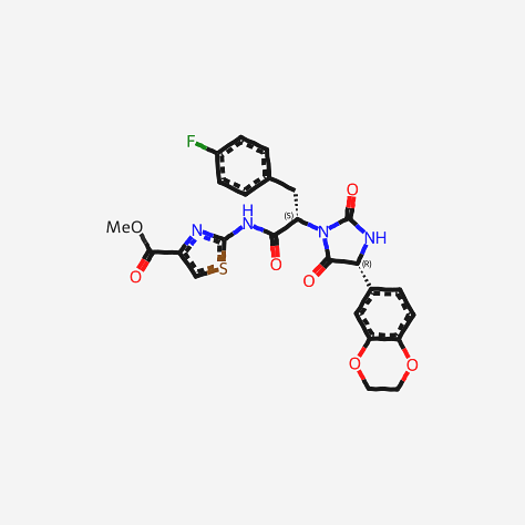 COC(=O)c1csc(NC(=O)[C@H](Cc2ccc(F)cc2)N2C(=O)N[C@H](c3ccc4c(c3)OCCO4)C2=O)n1